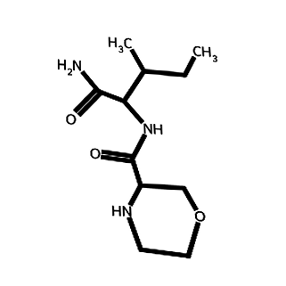 CCC(C)C(NC(=O)C1COCCN1)C(N)=O